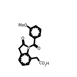 COc1cccc(C(=O)N2C(=O)Cc3cccc(CC(=O)O)c32)c1